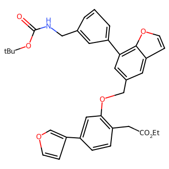 CCOC(=O)Cc1ccc(-c2ccoc2)cc1OCc1cc(-c2cccc(CNC(=O)OC(C)(C)C)c2)c2occc2c1